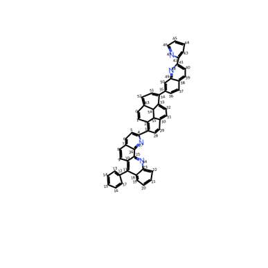 C1=CC2=C(c3ccc4ccc5c(-c6ccccc6)c6ccccc6nc5c4n3)C=CC3=CC=C4C(c5ccc6ccc(-c7ccccn7)nc6c5)=CC=C1C4C32